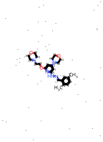 Cc1ccc(C)c(C=NNc2cc(N3CCOCC3)cc(OCCN3CCOCC3)n2)c1